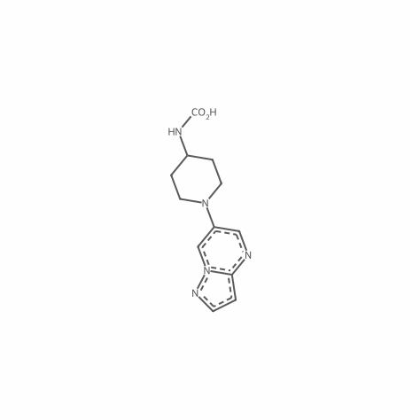 O=C(O)NC1CCN(c2cnc3ccnn3c2)CC1